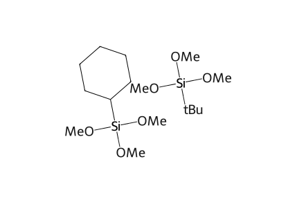 CO[Si](OC)(OC)C(C)(C)C.CO[Si](OC)(OC)C1CCCCC1